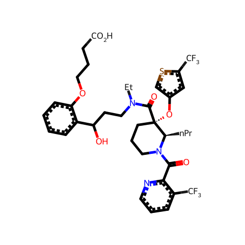 CCC[C@H]1N(C(=O)c2ncccc2C(F)(F)F)CCC[C@@]1(Oc1csc(C(F)(F)F)c1)C(=O)N(CC)CCC(O)c1ccccc1OCCCC(=O)O